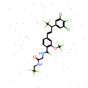 O=C(CNC(=S)c1ccc(/C=C/C(c2cc(Cl)c(F)c(Cl)c2)C(F)(F)F)cc1OC(F)(F)F)NCC(F)(F)F